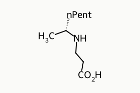 CCCCC[C@@H](C)NCCC(=O)O